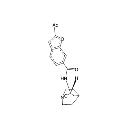 CC(=O)c1cc2ccc(C(=O)N[C@@H]3CC4CCN(CC4)C3)cc2o1